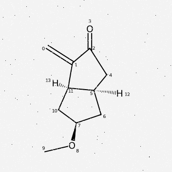 C=C1C(=O)C[C@H]2C[C@@H](OC)C[C@@H]12